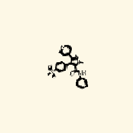 Cn1nc(-c2ccncc2)c(-c2ccc(S(C)(=O)=O)cc2)c1C(=O)Nc1ccccc1